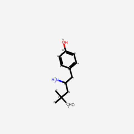 CC(C)(C=O)CC(N)Cc1ccc(O)cc1